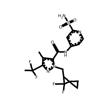 Cc1c(C(C)(F)F)nn(CC2C(F)(F)C23CC3)c1C(=O)Nc1ccnc(S(N)(=O)=O)c1